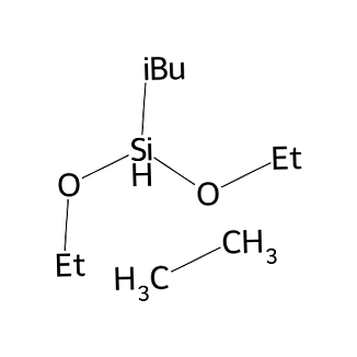 CC.CCO[SiH](OCC)C(C)CC